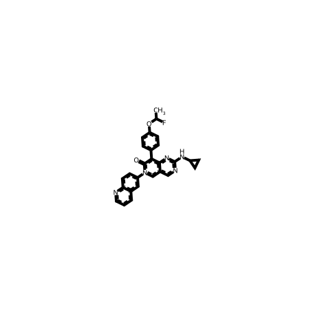 CC(F)Oc1ccc(-c2c(=O)n(-c3ccc4ncccc4c3)cc3cnc(NC4CC4)nc23)cc1